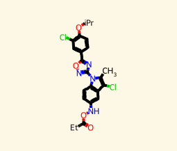 CCC(=O)ONc1ccc2c(c1)c(Cl)c(C)n2-c1noc(-c2ccc(OC(C)C)c(Cl)c2)n1